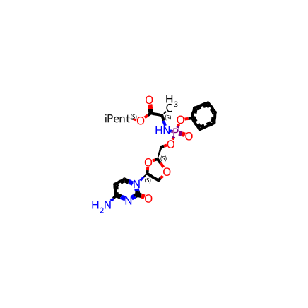 CCC[C@H](C)OC(=O)[C@H](C)NP(=O)(OC[C@H]1OC[C@@H](n2ccc(N)nc2=O)O1)Oc1ccccc1